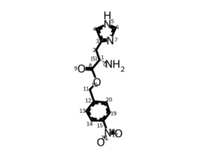 N[C@@H](Cc1c[nH]cn1)C(=O)OCc1ccc([N+](=O)[O-])cc1